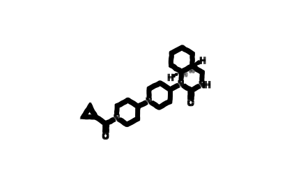 O=C(C1CC1)N1CCC(N2CCC(N3C(=O)NC[C@H]4CCCC[C@@H]43)CC2)CC1